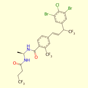 C[C@H](NC(=O)CCC(F)(F)F)NC(=O)c1ccc(C=CC(c2cc(Br)c(Cl)c(Br)c2)C(F)(F)F)cc1C(F)(F)F